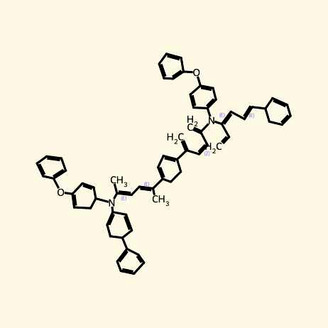 C=C/C(=C\C=C\C1C=CC=CC1)N(C(=C)/C=C\C(=C)C1=CC=C(/C(C)=C/C=C(\C)N(C2=CCC(c3ccccc3)C=C2)C2C=CC(Oc3ccccc3)=CC2)CC1)c1ccc(Oc2ccccc2)cc1